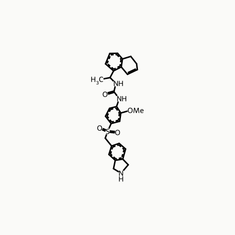 COc1cc(S(=O)(=O)Cc2ccc3c(c2)CNC3)ccc1NC(=O)NC(C)c1cccc2c1C=CCC2